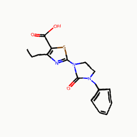 CCc1nc(N2CCN(c3ccccc3)C2=O)sc1C(=O)O